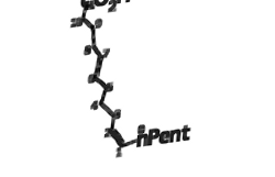 CCCCC/C=C\CCC/C=C/CCCC(=O)O